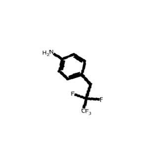 Nc1ccc(CC(F)(F)C(F)(F)F)cc1